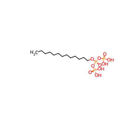 CCCCCCCCCCCCCOP(=O)(OP(=O)(O)O)OP(=O)(O)O